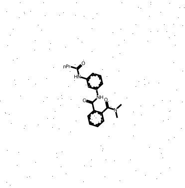 CCCC(=O)Nc1cccc(NC(=O)c2ccccc2C(=O)N(C)C)c1